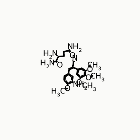 COc1ccc(/C=C(/C#N)c2cc(OC)c(OC)c(OC)c2)cc1N.NC(=O)CC[C@@H](N)C(N)=O